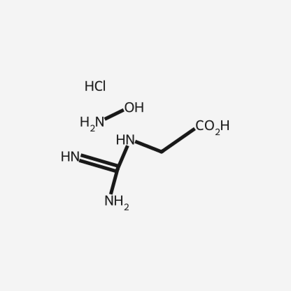 Cl.N=C(N)NCC(=O)O.NO